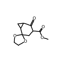 COC(=O)C1CC2(OCCO2)C2CC2C1=O